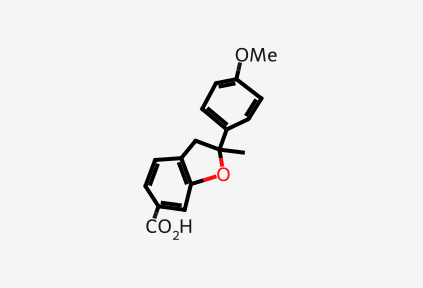 COc1ccc(C2(C)Cc3ccc(C(=O)O)cc3O2)cc1